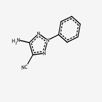 N#Cc1nn(-c2ccccc2)nc1N